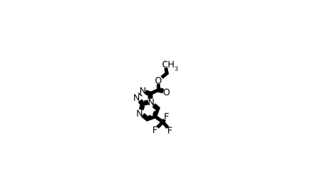 CCOC(=O)c1nnc2ncc(C(F)(F)F)cn12